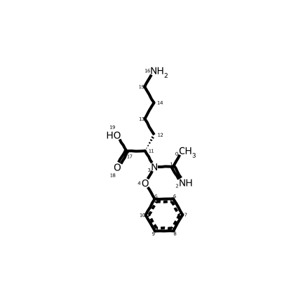 CC(=N)N(Oc1ccccc1)[C@@H](CCCCN)C(=O)O